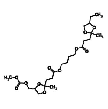 CCC1COC(C)(CCC(=O)OCCCCOC(=O)CCC2(C)OCC(COC(=O)OC)O2)O1